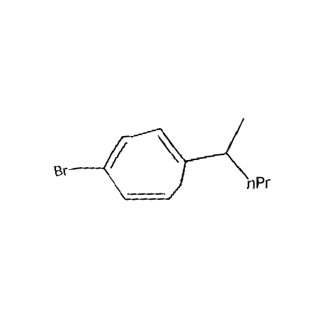 [CH2]CCC(C)c1ccc(Br)cc1